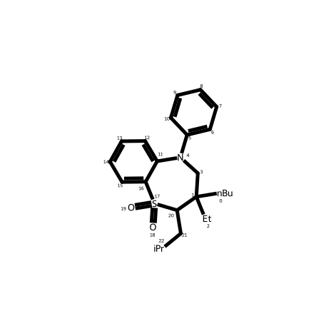 CCCCC1(CC)CN(c2ccccc2)c2ccccc2S(=O)(=O)C1CC(C)C